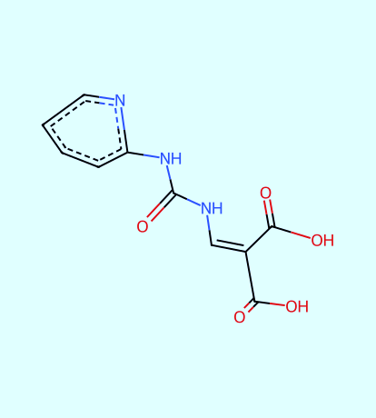 O=C(NC=C(C(=O)O)C(=O)O)Nc1ccccn1